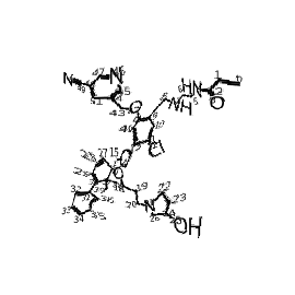 C=CC(=O)NCCNCc1cc(Cl)c(OC[C@@]2(OCCCN3CCC(O)C3)C=CC=C(c3ccccc3)C2(C)C)cc1OCc1cncc(C#N)c1